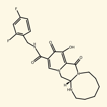 O=C(NCc1ccc(F)cc1F)c1cn2c(c(O)c1=O)C(=O)N1CCCCCCN[C@@H]1C2